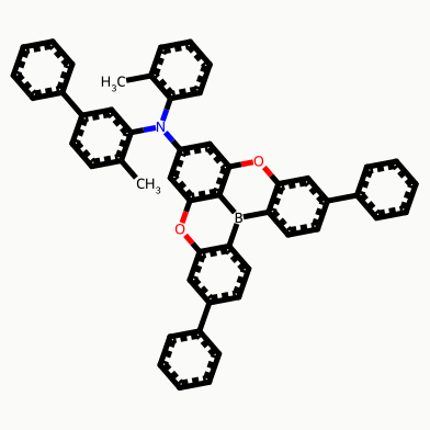 Cc1ccccc1N(c1cc2c3c(c1)Oc1cc(-c4ccccc4)ccc1B3c1ccc(-c3ccccc3)cc1O2)c1cc(-c2ccccc2)ccc1C